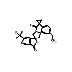 COc1ccc(C2(C(=O)N3CC[C@@]4(C3)OC(=O)c3cnc(C(F)(F)F)cc34)CC2)cc1